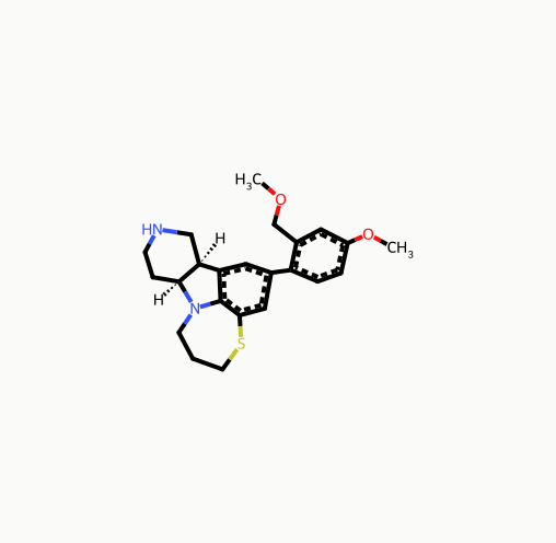 COCc1cc(OC)ccc1-c1cc2c3c(c1)[C@@H]1CNCC[C@@H]1N3CCCS2